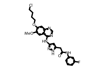 COc1cc2c(Nc3cc(CC(=O)Nc4cccc(F)c4)[nH]n3)ncnc2cc1OCCCCCl